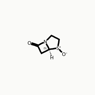 O=C1C[C@H]2N1CC[S+]2[O-]